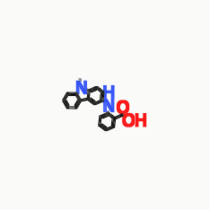 Cn1c2ccccc2c2cc(Nc3ccccc3C(=O)O)ccc21